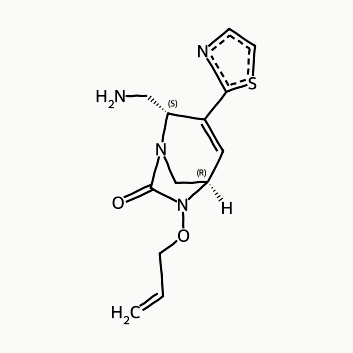 C=CCON1C(=O)N2C[C@H]1C=C(c1nccs1)[C@H]2CN